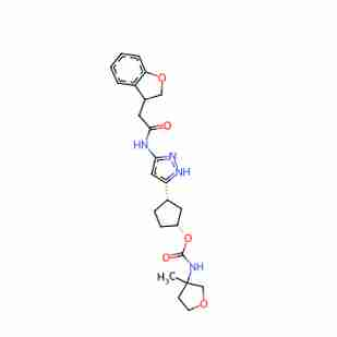 CC1(NC(=O)O[C@@H]2CC[C@H](c3cc(NC(=O)CC4COc5ccccc54)n[nH]3)C2)CCOC1